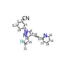 Cc1cc(C#N)cc(-n2cc(C#Cc3ccccn3)c(CC(C)F)n2)c1